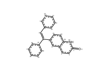 O=c1ccc2cc(/C(=C\c3cccnc3)c3ccccc3)ccc2[nH]1